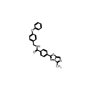 Cc1ncc2sc(-c3ccc(C(=O)NCc4ccc(Oc5ccccc5)cc4)cc3)nn12